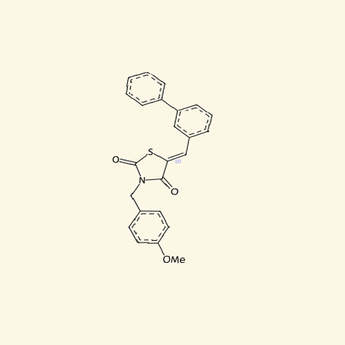 COc1ccc(CN2C(=O)S/C(=C\c3cccc(-c4ccccc4)c3)C2=O)cc1